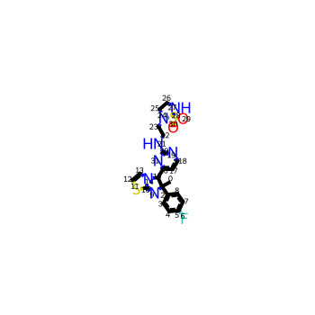 CC1(c2ccc(F)cc2)N=C2SC=CN2C1c1ccnc(NCCN2CCNS2(=O)=O)n1